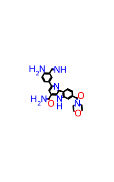 N=Cc1cc(-c2cc(C(N)=O)c3[nH]c4cc(C(=O)N5CCOCC5)ccc4c3n2)ccc1N